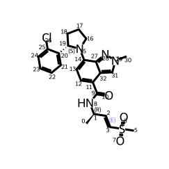 C[C@H](/C=C/S(C)(=O)=O)NC(=O)c1ccc(N2CCC[C@H]2c2ccccc2Cl)c2nn(C)cc12